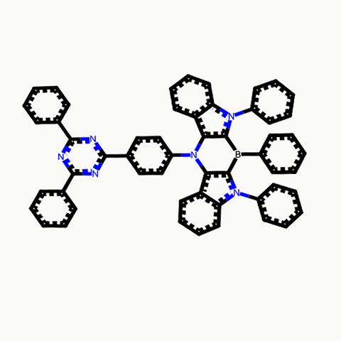 c1ccc(B2c3c(c4ccccc4n3-c3ccccc3)N(c3ccc(-c4nc(-c5ccccc5)nc(-c5ccccc5)n4)cc3)c3c2n(-c2ccccc2)c2ccccc32)cc1